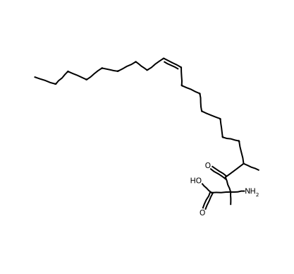 CCCCCCCC/C=C\CCCCCCC(C)C(=O)C(C)(N)C(=O)O